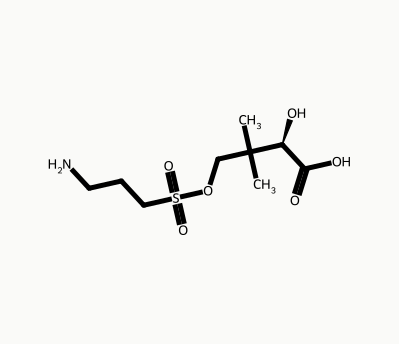 CC(C)(COS(=O)(=O)CCCN)[C@@H](O)C(=O)O